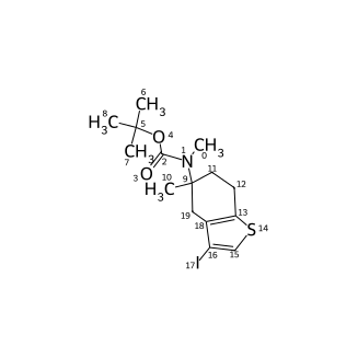 CN(C(=O)OC(C)(C)C)C1(C)CCc2scc(I)c2C1